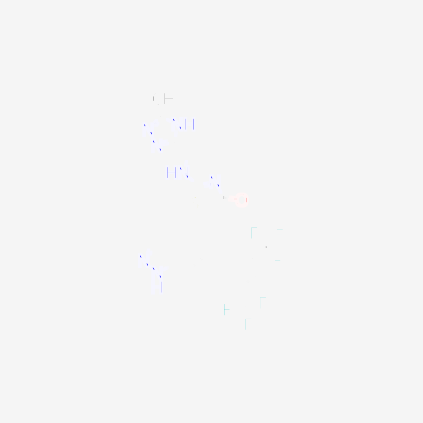 Cc1nnc(CNC2=NC(=O)C(=C(Cc3ccc(C(F)(F)F)cc3C(F)(F)F)c3ccc4[nH]ncc4c3)S2)[nH]1